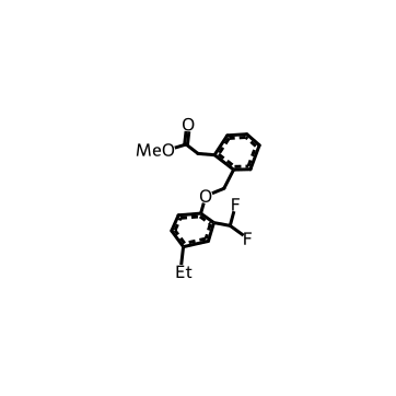 CCc1ccc(OCc2ccccc2CC(=O)OC)c(C(F)F)c1